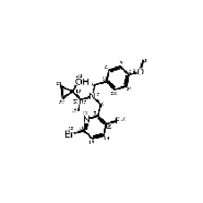 COc1ccc(CN(Cc2nc(Br)ccc2F)[C@@H](C)C2(O)CC2)cc1